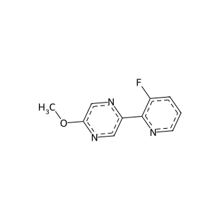 COc1cnc(-c2ncccc2F)cn1